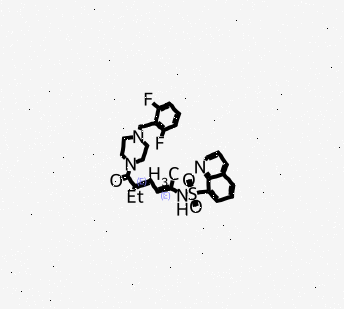 CC/C(=C\C=C(/C)NS(=O)(=O)c1cccc2cccnc12)C(=O)N1CCN(Cc2c(F)cccc2F)CC1